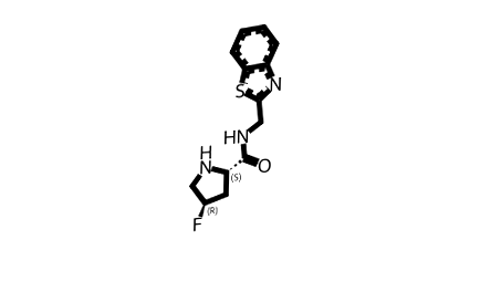 O=C(NCc1nc2ccccc2s1)[C@@H]1C[C@@H](F)CN1